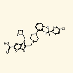 CC1(c2ncc(Cl)cn2)Oc2cccc(C3CCN(Cc4nc5sc(C(=O)O)cc5n4CC4CCO4)CC3)c2O1